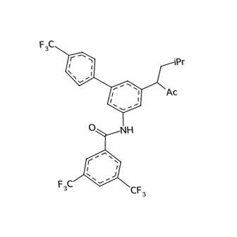 CC(=O)C(CC(C)C)c1cc(NC(=O)c2cc(C(F)(F)F)cc(C(F)(F)F)c2)cc(-c2ccc(C(F)(F)F)cc2)c1